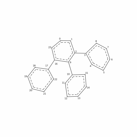 [c]1cc(-c2ccccc2)c(-c2ccccc2)c(-c2ccccc2)c1